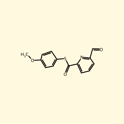 COc1ccc(SC(=O)c2cccc(C=O)n2)cc1